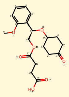 COc1ccccc1[C@H](COC(=O)CCC(=O)O)OC1CCC(=O)CC1